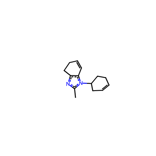 Cc1nc2c(n1C1CC=CCC1)C=CCC2